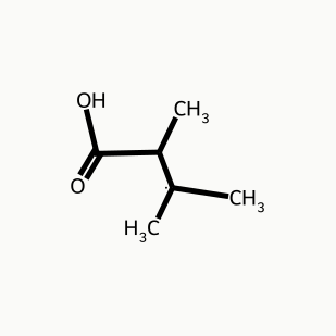 C[C](C)C(C)C(=O)O